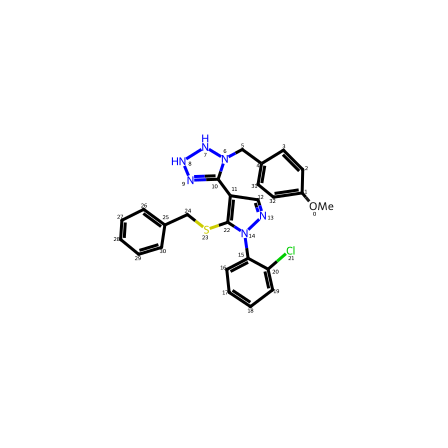 COc1ccc(CN2NNN=C2c2cnn(-c3ccccc3Cl)c2SCc2ccccc2)cc1